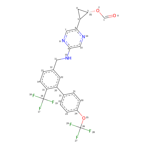 O=CO[C@H]1CC1c1cnc(NCc2ccc(C(F)(F)F)c(-c3ccc(OC(F)(F)F)cc3)c2)cn1